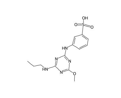 CCCNc1nc(Nc2cccc(S(=O)(=O)O)c2)nc(OC)n1